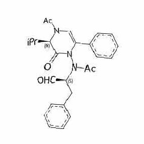 CC(=O)N1C=C(c2ccccc2)N(N(C(C)=O)[C@H](C=O)Cc2ccccc2)C(=O)[C@H]1C(C)C